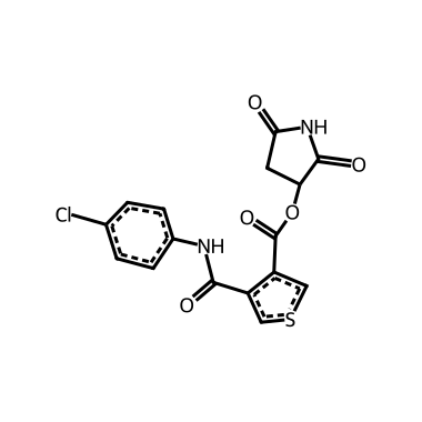 O=C1CC(OC(=O)c2cscc2C(=O)Nc2ccc(Cl)cc2)C(=O)N1